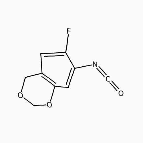 O=C=Nc1cc2c(cc1F)COCO2